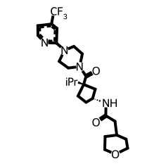 CC(C)[C@]1(C(=O)N2CCN(c3cc(C(F)(F)F)ccn3)CC2)CC[C@@H](NC(=O)CC2CCOCC2)C1